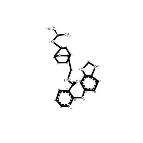 C[C@@H](OC1CC2CCC1CC2CNC(=O)c1cccnc1Oc1ccc2c(c1)OCO2)C(=O)O